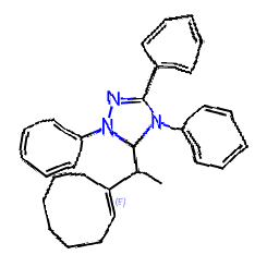 CC(/C1=C/CCCCCC1)C1N(c2ccccc2)N=C(c2ccccc2)N1c1ccccc1